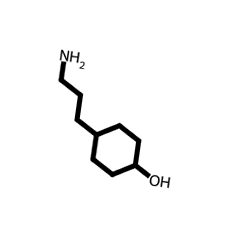 NCCCC1CCC(O)CC1